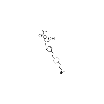 C=C(C)C(=O)OCC(CO)Cc1ccc(CCC2CCC(CCCC(C)C)CC2)cc1